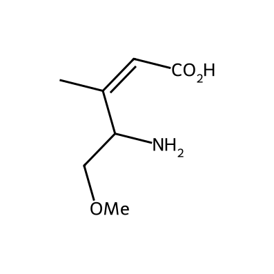 COCC(N)/C(C)=C\C(=O)O